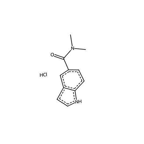 CN(C)C(=O)c1ccc2[nH]ccc2c1.Cl